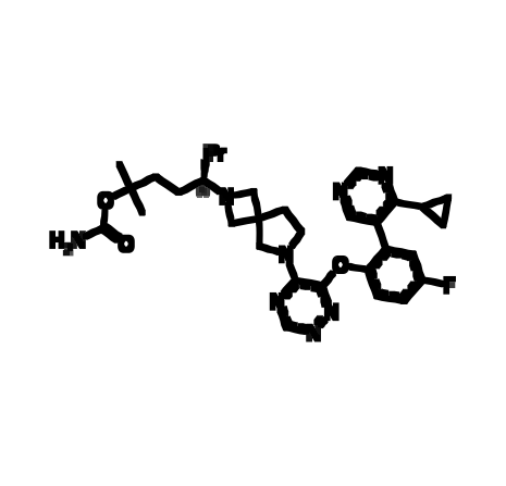 CC(C)[C@H](CCC(C)(C)OC(N)=O)N1CC2(CCN(c3ncnnc3Oc3ccc(F)cc3-c3cncnc3C3CC3)C2)C1